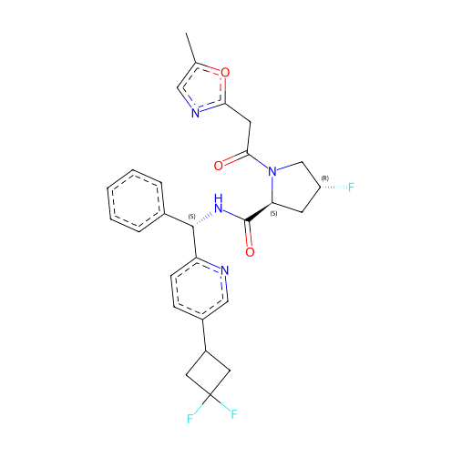 Cc1cnc(CC(=O)N2C[C@H](F)C[C@H]2C(=O)N[C@@H](c2ccccc2)c2ccc(C3CC(F)(F)C3)cn2)o1